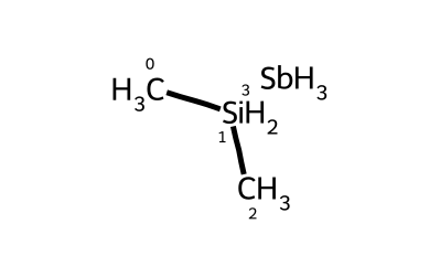 C[SiH2]C.[SbH3]